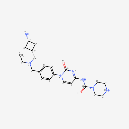 CCN(Cc1ccc(-n2ccc(NC(=O)N3CCNCC3)nc2=O)cc1)C[C@H]1C[C@@H](N)C1